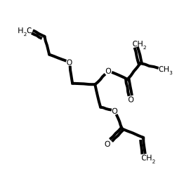 C=CCOCC(COC(=O)C=C)OC(=O)C(=C)C